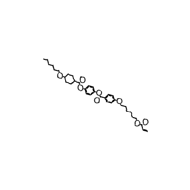 C=CC(=O)OCCCCCCOc1ccc(C(=O)Oc2ccc(OC(=O)C3CCC(OCCCCCC)CC3)cc2)cc1